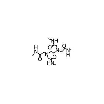 CNC(=O)CN(CCN(CC(=O)NC)CC(=O)NC)CC(=O)NC